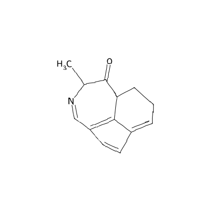 CC1N=CC2=C3C(=CCCC3C1=O)C=C2